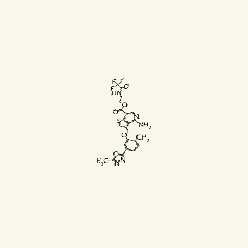 Cc1nnc(-c2ccc(C)c(OCc3csc4c(C(=O)OCCNC(=O)C(F)(F)F)cnc(N)c34)c2)o1